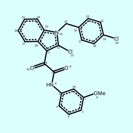 COc1cccc(NC(=O)C(=O)c2c(Cl)n(Cc3ccc(Cl)cc3)c3ccccc23)c1